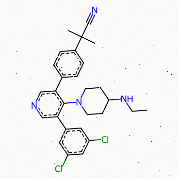 CCNC1CCN(c2c(-c3ccc(C(C)(C)C#N)cc3)cncc2-c2cc(Cl)cc(Cl)c2)CC1